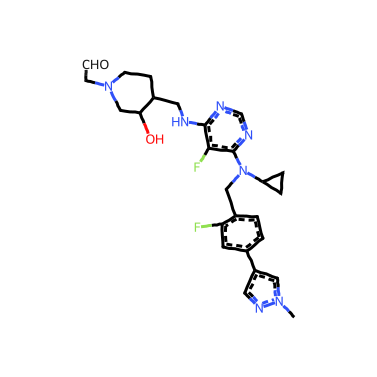 Cn1cc(-c2ccc(CN(c3ncnc(NCC4CCN(CC=O)CC4O)c3F)C3CC3)c(F)c2)cn1